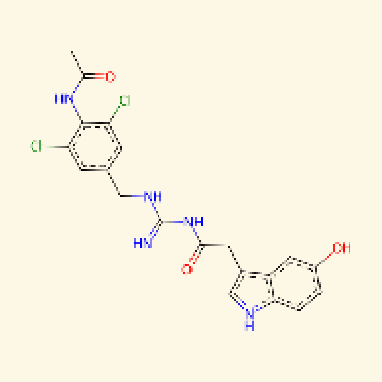 CC(=O)Nc1c(Cl)cc(CNC(=N)NC(=O)Cc2c[nH]c3ccc(O)cc23)cc1Cl